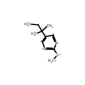 CCC(C)(C)c1cnc(SC)nc1